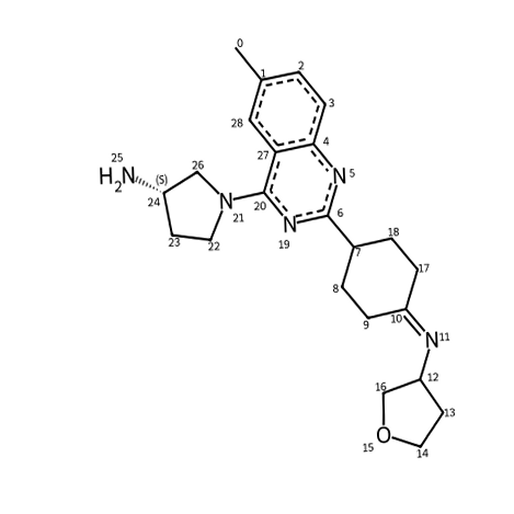 Cc1ccc2nc(C3CCC(=NC4CCOC4)CC3)nc(N3CC[C@H](N)C3)c2c1